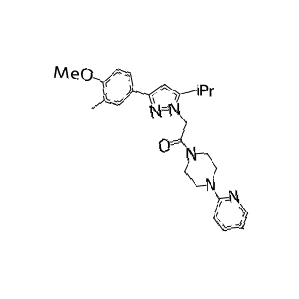 COc1ccc(-c2cc(C(C)C)n(CC(=O)N3CCN(c4ccccn4)CC3)n2)cc1C